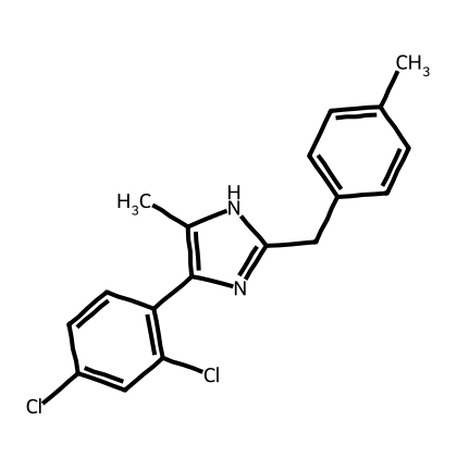 Cc1ccc(Cc2nc(-c3ccc(Cl)cc3Cl)c(C)[nH]2)cc1